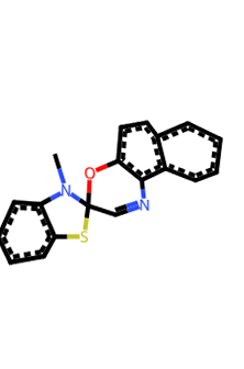 CN1c2ccccc2SC12C=Nc1c(ccc3ccccc13)O2